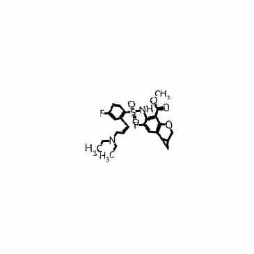 CCN(CC)C/C=C\c1cc(F)ccc1S(=O)(=O)Nc1c(F)cc2c(c1C(=O)OC)OCC1CC21